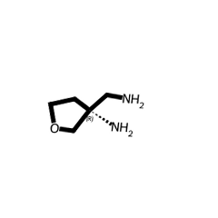 NC[C@]1(N)CCOC1